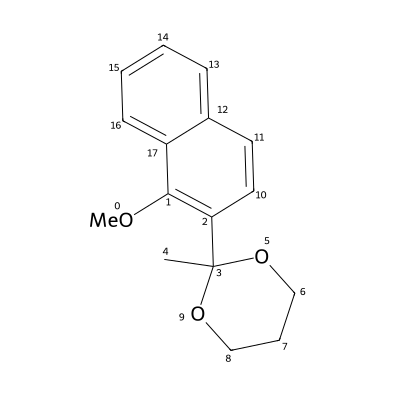 COc1c(C2(C)OCCCO2)ccc2ccccc12